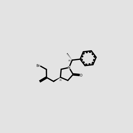 C=C(CBr)C[C@@H]1CC(=O)N([C@H](C)c2ccccc2)C1